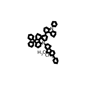 CC1(C)c2cc(-c3ccccc3)ccc2-c2ccc(N(c3ccc(-c4cccc5c4c4ccccc4n5-c4ccccc4)cc3)c3cccc4c3-c3ccccc3C4(c3ccccc3)c3ccccc3)cc21